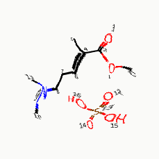 COC(=O)C(C)=CCCN(C)C.O=S(=O)(O)O